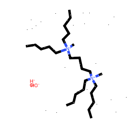 CCCCC[N+](C)(CCCCC)CCCC[N+](C)(CCCCC)CCCCC.[OH-].[OH-]